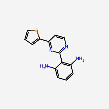 Nc1cccc(N)c1-c1nccc(-c2cccs2)n1